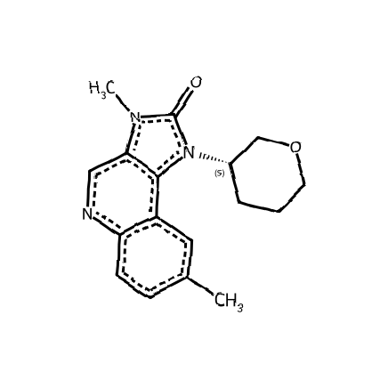 Cc1ccc2ncc3c(c2c1)n([C@H]1CCCOC1)c(=O)n3C